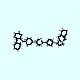 c1ccc2cn3ncc(-c4ccc(-c5ncc(-c6ccc(-n7c8ccccc8c8ccccc87)cc6)cn5)cc4)c3cc2c1